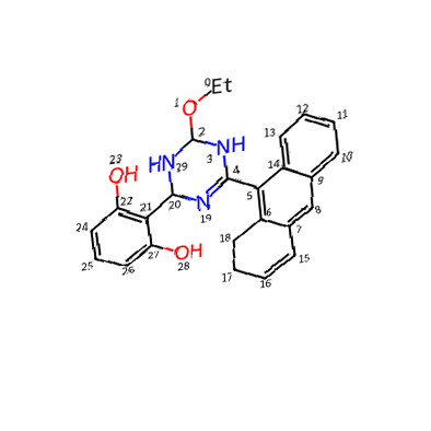 CCOC1NC(c2c3c(cc4ccccc24)C=CCC3)=NC(c2c(O)cccc2O)N1